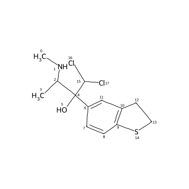 CNC(C)C(O)(c1ccc2c(c1)CCS2)C(Cl)Cl